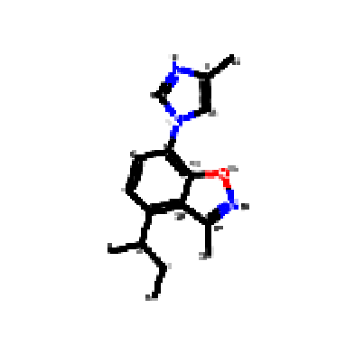 CCC(C)c1ccc(-n2cnc(C)c2)c2onc(C)c12